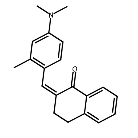 Cc1cc(N(C)C)ccc1C=C1CCc2ccccc2C1=O